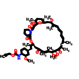 C#CCOC(=O)N[C@H]1CC[C@@H](C[C@@H](C)[C@@H]2CC(=O)[C@H](C)/C=C(\C)[C@@H](O)[C@@H](OC)C(=O)[C@H](C)C[C@H](C)/C=C/C=C/C=C(\C)[C@@H](OC)C[C@@H]3CC[C@@H](C)[C@@](O)(O3)C(=O)C(=O)N3CCCC[C@H]3C(=O)O2)C[C@H]1OC